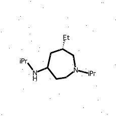 CC[C@H]1CC(NC(C)C)CCN(C(C)C)C1